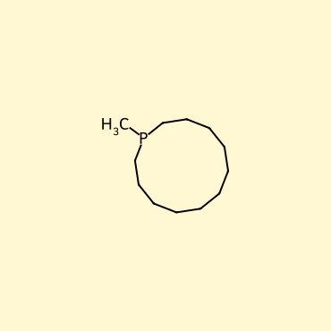 CP1CCCCCCCCCCC1